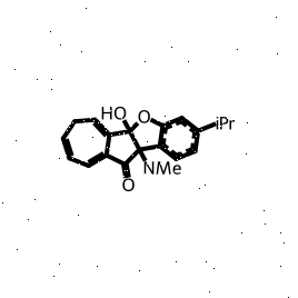 CNC12C(=O)C3=CC=CCC=C3C1(O)Oc1cc(C(C)C)ccc12